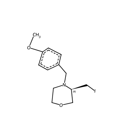 COc1ccc(CN2CCOC[C@@H]2CI)cc1